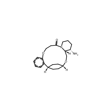 N[C@H]1CCCN2C(=O)CCOc3ccccc3[C@H]3CC[C@H](CC3)OC[C@@H]12